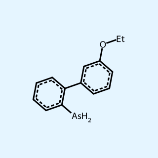 CCOc1cccc(-c2ccccc2[AsH2])c1